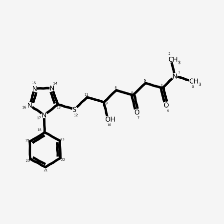 CN(C)C(=O)CC(=O)CC(O)CSc1nnnn1-c1ccccc1